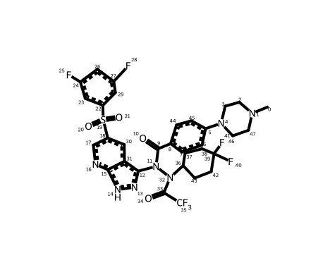 CN1CCN(c2ccc(C(=O)N(c3n[nH]c4ncc(S(=O)(=O)c5cc(F)cc(F)c5)cc34)N(C(=O)C(F)(F)F)C3CCC(F)(F)CC3)cc2)CC1